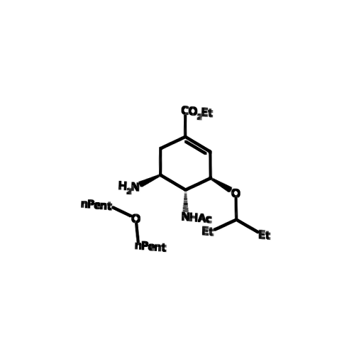 CCCCCOCCCCC.CCOC(=O)C1=C[C@@H](OC(CC)CC)[C@H](NC(C)=O)[C@@H](N)C1